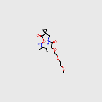 CCC(C)NOC(=O)C1(CNC(=O)COCCOCCOC)CC1